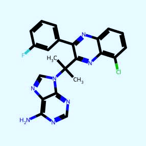 CC(C)(c1nc2c(Cl)cccc2nc1-c1cccc(F)c1)n1cnc2c(N)ncnc21